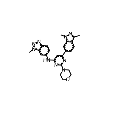 Cc1nn(C)c2cc(-c3cc(Nc4ccc5nnn(C)c5c4)nc(N4CCOCC4)n3)ccc12